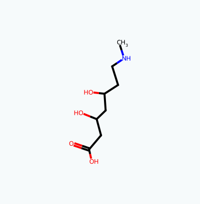 CNCCC(O)CC(O)CC(=O)O